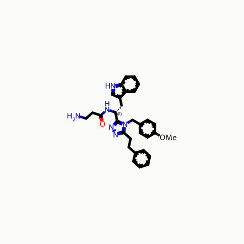 COc1ccc(Cn2c(CCc3ccccc3)nnc2[C@@H](Cc2c[nH]c3ccccc23)NC(=O)CCN)cc1